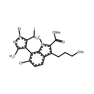 CCn1nc(C)c(-c2c(Cl)ccc3c(CCCOC(C)=O)c(C(=O)OC)n(C)c23)c1CI